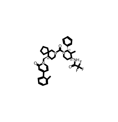 Cc1ccccc1-c1ccn(C[C@@H]2CCN(C(=O)N3CC[C@@H](NC(=O)C(F)(F)F)C(C)[C@H]3c3ccccc3)CC23CCCC3)c(=O)c1